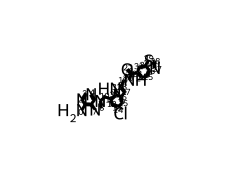 Nc1ncnc2c1ncn2Cc1cc(Cl)cc2cc(CNC(=O)c3ccc4ncsc4c3)[nH]c12